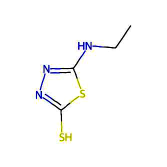 CCNc1nnc(S)s1